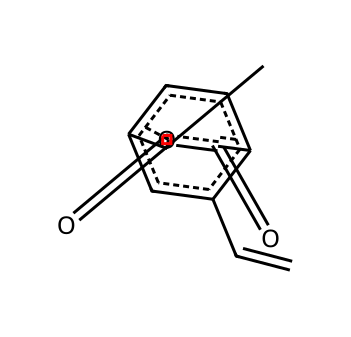 C=Cc1cc2ccc1c(=O)oc2=O